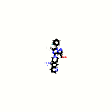 Cc1nc(N2CCC3(CC2)Cc2ncccc2[C@H]3N)c2c(CO)cnn2c1-c1ccccc1F